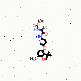 CCC(NC(=O)OC(C)(C)C)C(=O)Nc1ccc(Oc2ccc(C)c3c2C2(CC2)CO3)cn1